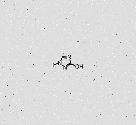 Oc1ncn(I)n1